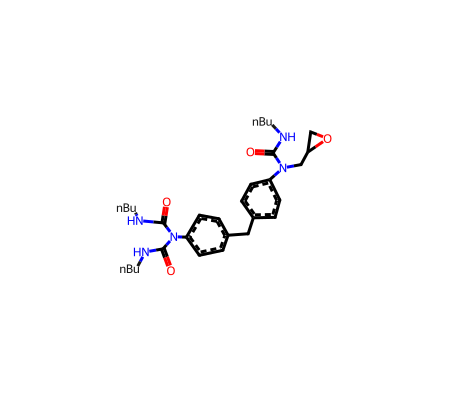 CCCCNC(=O)N(CC1CO1)c1ccc(Cc2ccc(N(C(=O)NCCCC)C(=O)NCCCC)cc2)cc1